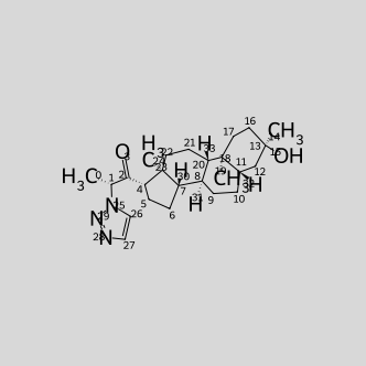 C[C@H](C(=O)[C@H]1CC[C@H]2[C@@H]3CC[C@H]4C[C@](C)(O)CC[C@]4(C)[C@H]3CC[C@]12C)n1ccnn1